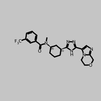 CN(C(=O)c1cccc(C(F)(F)F)c1)[C@@H]1CCC[C@H](c2nnc(-c3cnc4n3CCOC4)[nH]2)C1